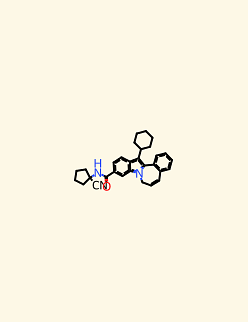 N#CC1(NC(=O)c2ccc3c(C4CCCCC4)c4n(c3c2)CC=Cc2ccccc2-4)CCCC1